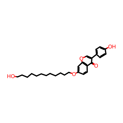 O=c1c(-c2ccc(O)cc2)coc2cc(OCCCCCCCCCCCCO)ccc12